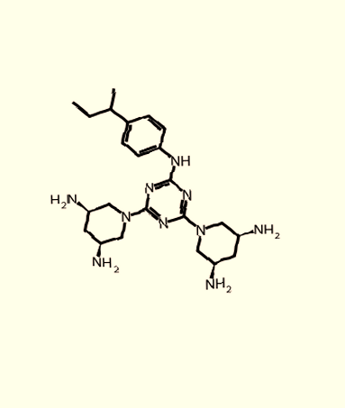 CCC(C)c1ccc(Nc2nc(N3C[C@H](N)C[C@H](N)C3)nc(N3C[C@H](N)C[C@H](N)C3)n2)cc1